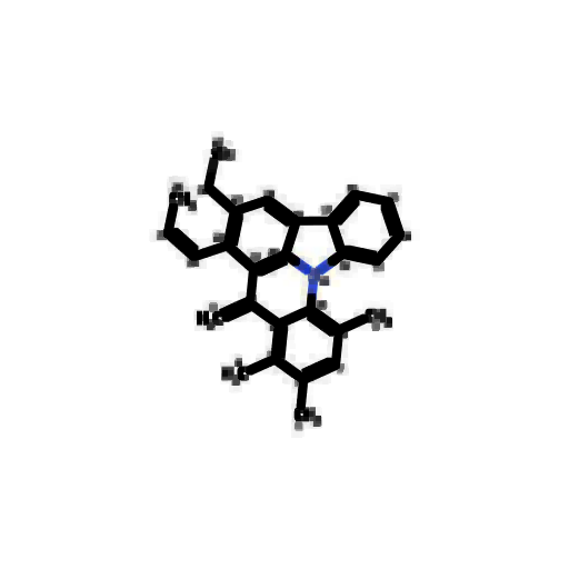 C=c1c2c(C)c(C)cc(C)c2n2c3ccccc3c3cc(CC(C)(C)C)c(/C=C\C)c1c32